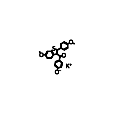 COc1ccc(-c2sc3cc(OC)ccc3c2C(=O)c2ccc([O-])cc2)cc1.[K+]